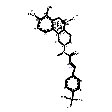 CN(C(=O)/C=C/c1ccc(C(F)(F)F)cc1)[C@@H]1CC[C@H]2[C@H]3Cc4c(ccc(O)c4O)[C@@]2(CCN3)C1